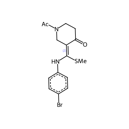 CS/C(Nc1ccc(Br)cc1)=C1/CN(C(C)=O)CCC1=O